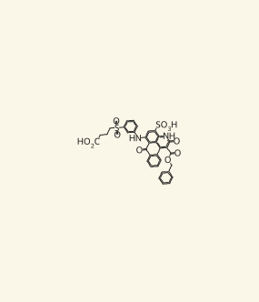 O=C(O)CCCS(=O)(=O)c1cccc(Nc2cc(S(=O)(=O)O)c3[nH]c(=O)c(C(=O)OCc4ccccc4)c4c3c2C(=O)c2ccccc2-4)c1